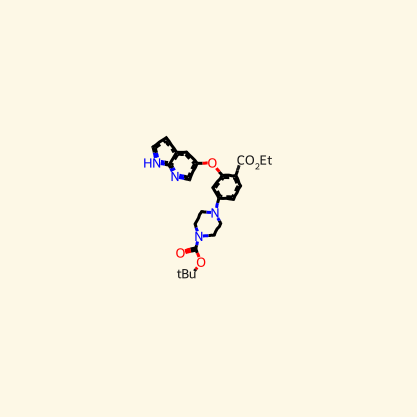 CCOC(=O)c1ccc(N2CCN(C(=O)OC(C)(C)C)CC2)cc1Oc1cnc2[nH]ccc2c1